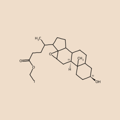 CC(CCC(=O)OCI)C1CCC2C3CCC4C[C@@H](O)CCC4(C)[C@H]3CC3OC312